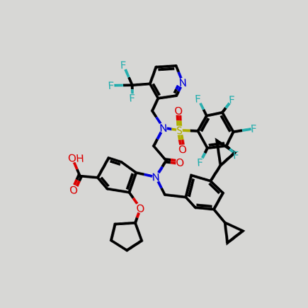 O=C(O)c1ccc(N(Cc2cc(C3CC3)cc(C3CC3)c2)C(=O)CN(Cc2cnccc2C(F)(F)F)S(=O)(=O)c2c(F)c(F)c(F)c(F)c2F)c(OC2CCCC2)c1